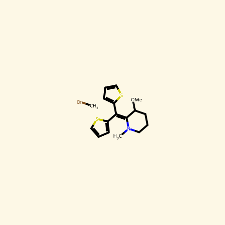 CBr.COC1CCCN(C)C1=C(c1cccs1)c1cccs1